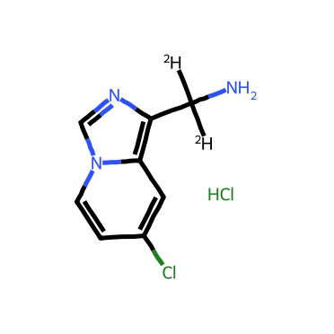 Cl.[2H]C([2H])(N)c1ncn2ccc(Cl)cc12